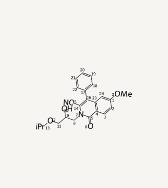 COc1ccc2c(=O)n(CC(O)COC(C)C)c(C#N)c(-c3ccccc3)c2c1